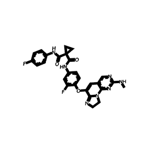 CNc1ncc2c(n1)N1CCN=C1C(Oc1ccc(NC(=O)C3(C(=O)Nc4ccc(F)cc4)CC3)cc1F)=C2